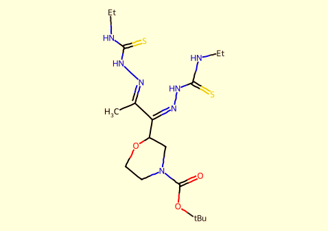 CCNC(=S)N/N=C(C)/C(=N\NC(=S)NCC)C1CN(C(=O)OC(C)(C)C)CCO1